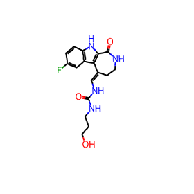 O=C(NC=C1CCNC(=O)c2[nH]c3ccc(F)cc3c21)NCCCO